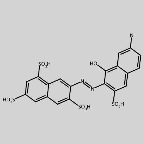 [N]c1ccc2cc(S(=O)(=O)O)c(N=Nc3cc4c(S(=O)(=O)O)cc(S(=O)(=O)O)cc4cc3S(=O)(=O)O)c(O)c2c1